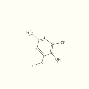 Cc1cc(Cl)c(O)c(CI)c1